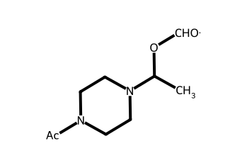 CC(=O)N1CCN(C(C)O[C]=O)CC1